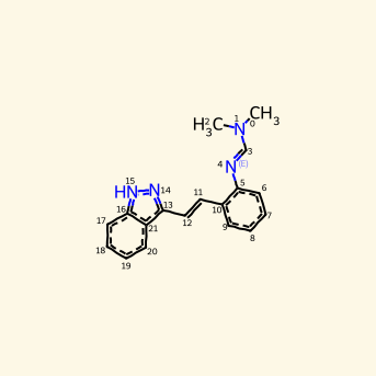 CN(C)/C=N/c1ccccc1C=Cc1n[nH]c2ccccc12